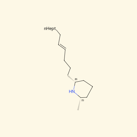 CCCCCCCCC=CCCC[C@@H]1CCC[C@H](C)N1